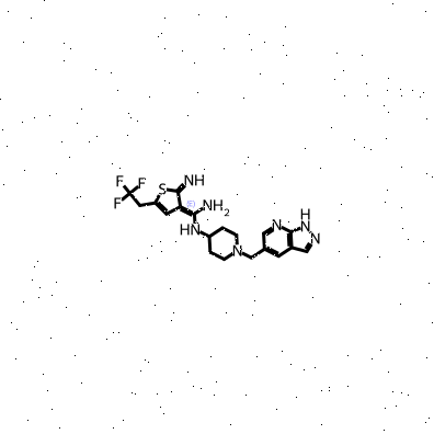 N=C1SC(CC(F)(F)F)=C/C1=C(/N)NC1CCN(Cc2cnc3[nH]ncc3c2)CC1